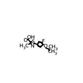 Cc1nc(-c2ccc(OCC(C)C)c(F)c2)sc1C(=O)O